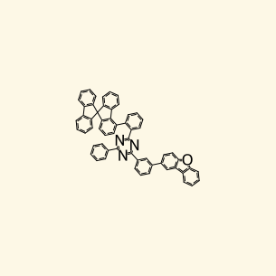 c1ccc(-c2nc(-c3cccc(-c4ccc5oc6ccccc6c5c4)c3)nc(-c3ccccc3-c3cccc4c3-c3ccccc3C43c4ccccc4-c4ccccc43)n2)cc1